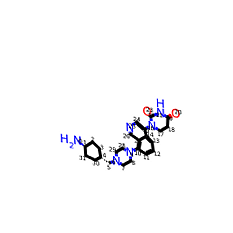 N[C@H]1CC[C@H](CN2CCN(c3cccc4c(N5CCC(=O)NC5=O)cncc34)CC2)CC1